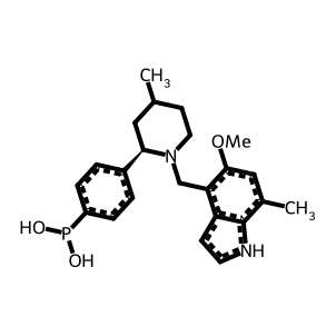 COc1cc(C)c2[nH]ccc2c1CN1CCC(C)C[C@@H]1c1ccc(P(O)O)cc1